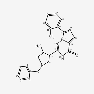 CC1CN(Cc2ccccc2)CC1c1nn2c(-c3ccccc3C(F)(F)F)ncc2c(=O)[nH]1